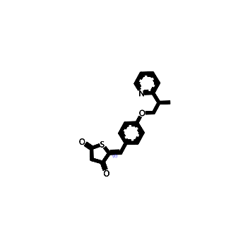 CC(COc1ccc(/C=C2\SC(=O)CC2=O)cc1)c1ccccn1